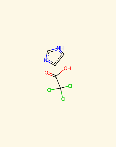 O=C(O)C(Cl)(Cl)Cl.c1c[nH]cn1